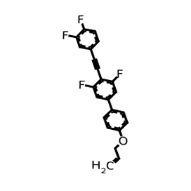 C=CCOc1ccc(-c2cc(F)c(C#Cc3ccc(F)c(F)c3)c(F)c2)cc1